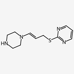 C(=CN1CCNCC1)CSc1ncccn1